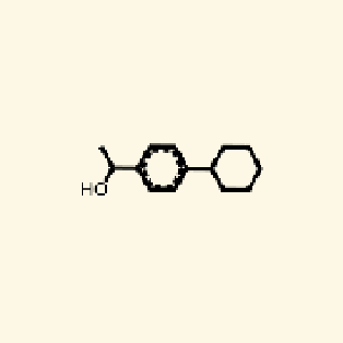 CC(O)c1ccc(C2CCCCC2)cc1